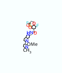 COc1nc(C)ccc1-c1ccc2cnc(CNC(=O)c3cc(F)c4c(c3)S(=O)(=O)[C@@H](F)CCO4)cc2n1